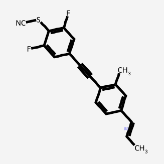 C/C=C/c1ccc(C#Cc2cc(F)c(SC#N)c(F)c2)c(C)c1